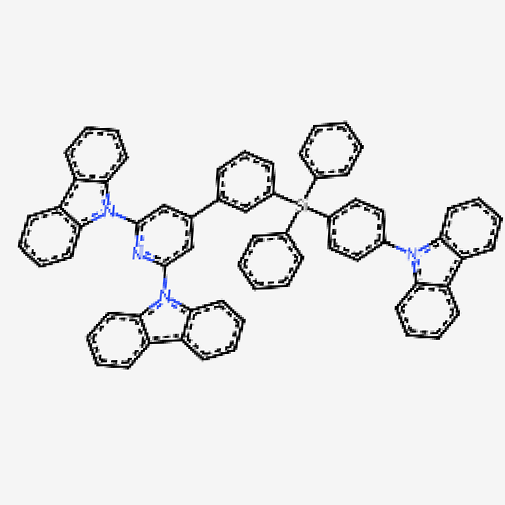 c1ccc([Si](c2ccccc2)(c2ccc(-n3c4ccccc4c4ccccc43)cc2)c2cccc(-c3cc(-n4c5ccccc5c5ccccc54)nc(-n4c5ccccc5c5ccccc54)c3)c2)cc1